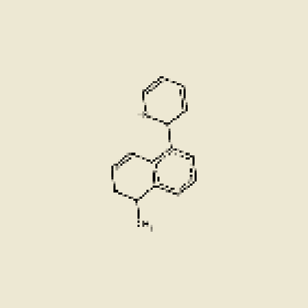 CC1CC=Cc2c1cccc2C1C=CC=CN1